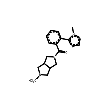 Cn1ncnc1-c1ccccc1C(=O)N1CC2CN(C(=O)O)CC2C1